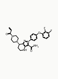 C=CC(=O)N1CCN([C@@H]2CCNc3c2nn(-c2ccc(Oc4cccc(F)c4F)cc2)c3C(N)=O)CC1